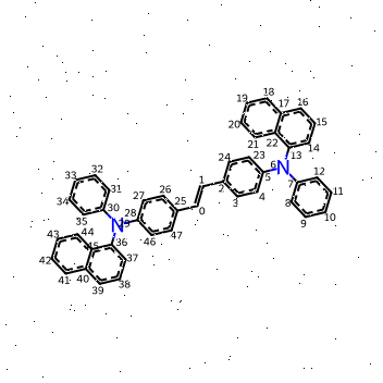 C(=C\c1ccc(N(c2ccccc2)c2cccc3ccccc23)cc1)/c1ccc(N(c2ccccc2)c2cccc3ccccc23)cc1